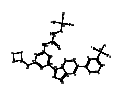 CC(F)(F)c1nccc(-c2ccn3c(-c4cc(NC(=O)NCC(F)(F)F)cc(OC5CCC5)c4)cnc3c2)n1